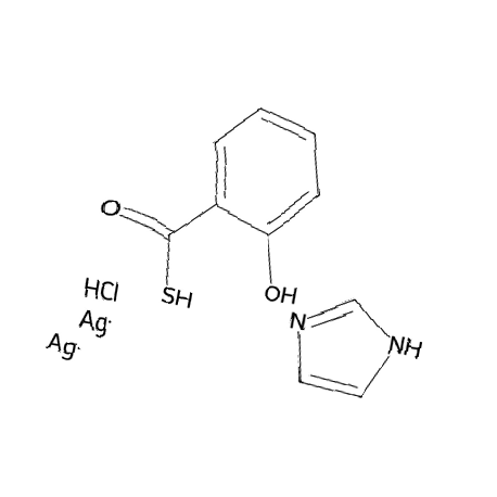 Cl.O=C(S)c1ccccc1O.[Ag].[Ag].c1c[nH]cn1